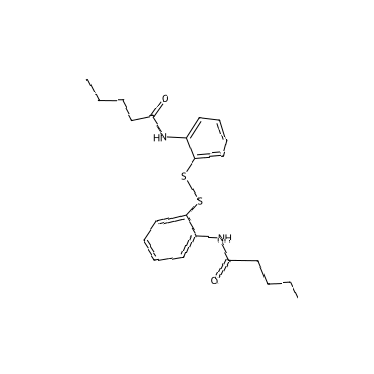 CCCCC(=O)Nc1ccccc1SSc1ccccc1NC(=O)CCCC